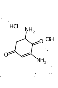 Cl.Cl.NC1=CC(=O)CC(N)C1=O